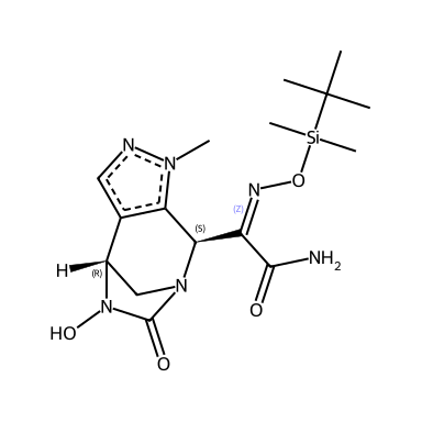 Cn1ncc2c1[C@@H](/C(=N/O[Si](C)(C)C(C)(C)C)C(N)=O)N1C[C@@H]2N(O)C1=O